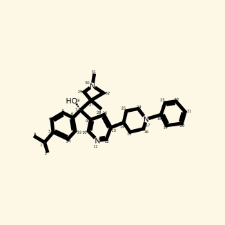 CC(C)c1ccc([C@](O)(c2cncc(C3CCN(c4ccccc4)CC3)c2)C2(C)CN(C)C2)cc1